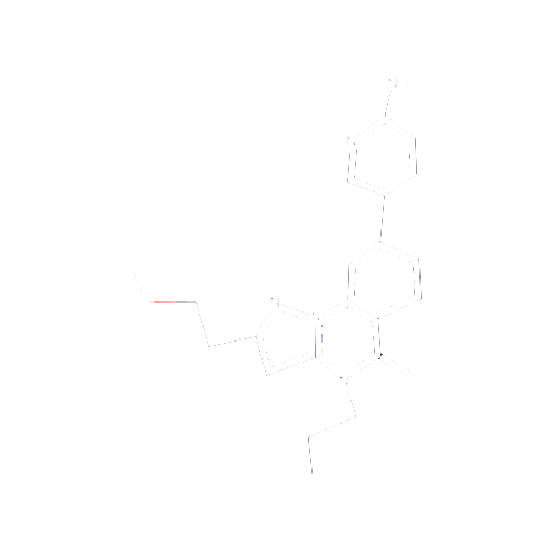 CCCn1c(=O)c2ccc(-c3ccc(N)nc3)cc2n2nc(CCOC)cc12